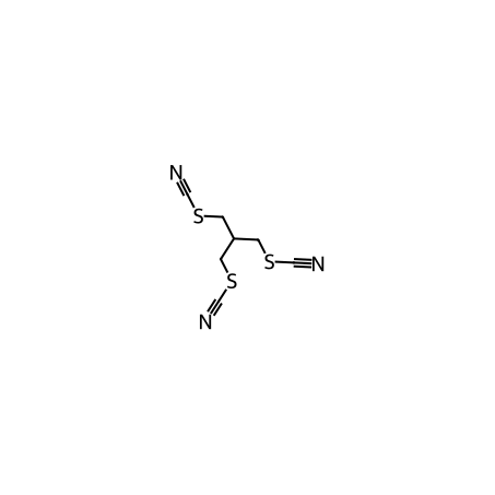 N#CSCC(CSC#N)CSC#N